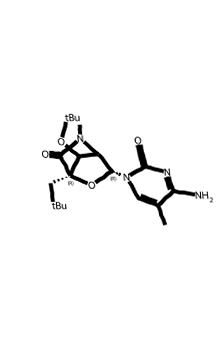 Cc1cn([C@@H]2O[C@@]3(CC(C)(C)C)C(=O)N(C)C2C3OC(C)(C)C)c(=O)nc1N